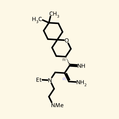 CCN(CCNC)C/C(=C/N)C(=N)[C@@H]1CCC2(CCC(C)(C)CC2)OC1